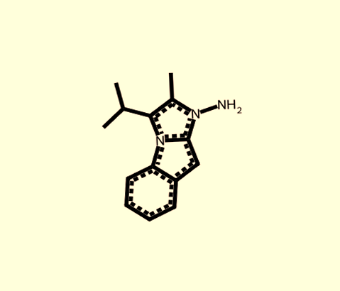 Cc1c(C(C)C)n2c3ccccc3cc2n1N